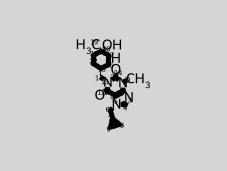 CN1c2ncn(CC3CC3)c2C(=O)N(C[C@H]2CC[C@@](C)(O)CC2)C1O